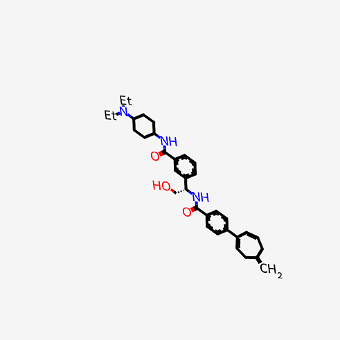 C=C1CC=CC(c2ccc(C(=O)N[C@H](CO)c3cccc(C(=O)NC4CCC(N(CC)CC)CC4)c3)cc2)=CC1